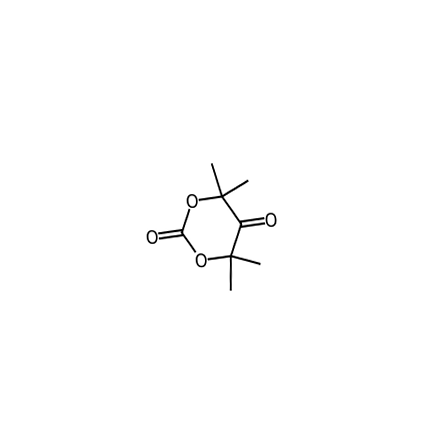 CC1(C)OC(=O)OC(C)(C)C1=O